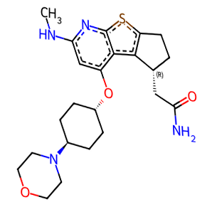 CNc1cc(O[C@H]2CC[C@H](N3CCOCC3)CC2)c2c3c(sc2n1)CC[C@@H]3CC(N)=O